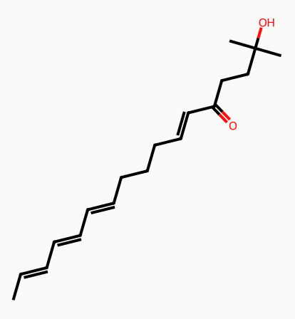 C/C=C/C=C/C=C/CCC/C=C/C(=O)CCC(C)(C)O